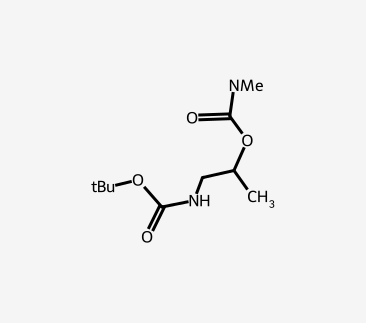 CNC(=O)OC(C)CNC(=O)OC(C)(C)C